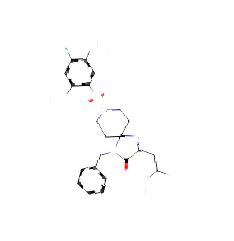 Cc1cc(S(=O)(=O)N2CCC3(CC2)NC(CC(C)C)C(=O)N3Cc2ccccc2)c(C)cc1Cl